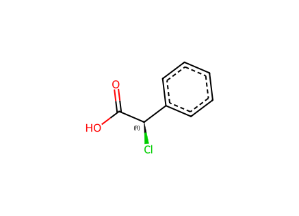 O=C(O)[C@H](Cl)c1ccccc1